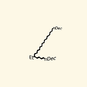 [CH2]CC(CCCCCCCCCCCCCC)CCCCCCCCCCCCCCCCCCCCCCCCC